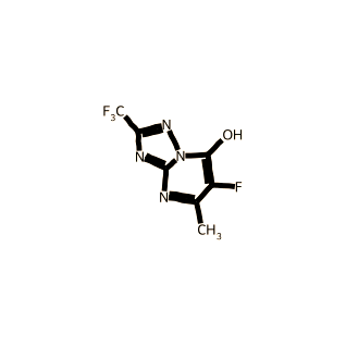 Cc1nc2nc(C(F)(F)F)nn2c(O)c1F